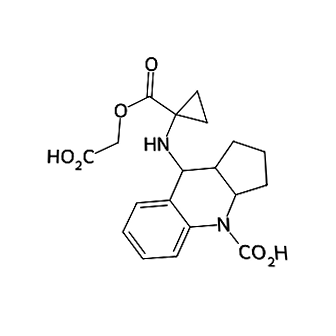 O=C(O)COC(=O)C1(NC2c3ccccc3N(C(=O)O)C3CCCC23)CC1